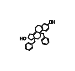 Oc1ccc2c(c1)CCC1=C3C[C@@H](O)C[C@@]3(Cc3ccccc3)CC[C@]12Cc1ccccc1